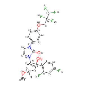 CC(C)O[Si](C)(C)C[C@@](O)(c1ccc(F)cc1F)[C@@H](C)n1ccn(-c2ccc(OCC(F)(F)C(F)F)cc2)c1=O